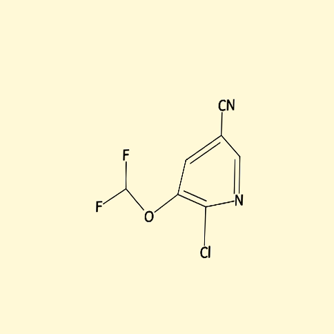 N#Cc1cnc(Cl)c(OC(F)F)c1